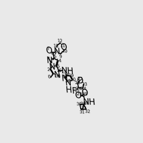 Cc1cn2nc(C(=O)N3CCOCC3)cc2c(Nc2cc([C@@H]3OC[C@H](OC(=O)NC45CC(C4)C5)[C@H]3F)[nH]n2)n1